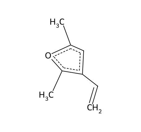 C=Cc1cc(C)oc1C